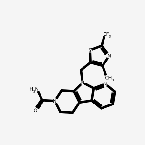 Cc1nc(C(F)(F)F)sc1Cn1c2c(c3cccnc31)CCN(C(N)=O)C2